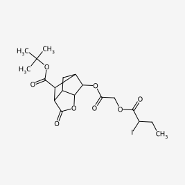 CCC(I)C(=O)OCC(=O)OC1C2CC3C1OC(=O)C3C2C(=O)OC(C)(C)C